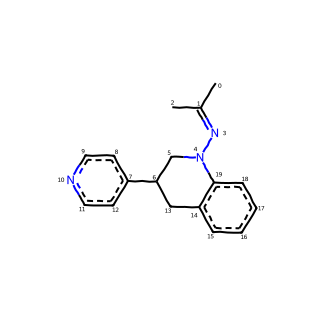 CC(C)=NN1CC(c2ccncc2)Cc2ccccc21